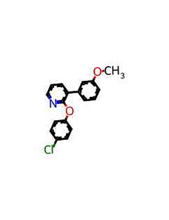 COc1cccc(-c2cccnc2Oc2ccc(Cl)cc2)c1